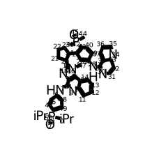 CC(C)P(=O)(c1ccc(Nc2nc3ccccc3c3c2nc(C2CCCC2c2cc(Nc4nccc5ncccc45)ccc2P(C)(C)=O)n3C)cc1)C(C)C